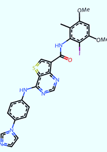 COc1cc(OC)c(I)c(NC(=O)c2csc3c(Nc4ccc(-n5ccnc5)cc4)ncnc23)c1C